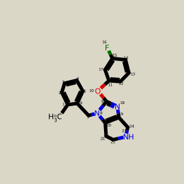 Cc1ccccc1Cn1c(Oc2cccc(F)c2)nc2c1CCNC2